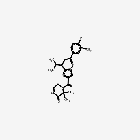 Cc1cc(C2=Nn3cc(C(=O)N4CCNC(=O)C4(C)C)nc3C(C(C)C)C2)ccc1F